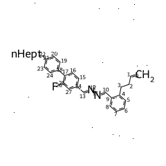 C=CCCc1ccccc1C=NN=Cc1ccc(-c2ccc(CCCCCCC)cc2)c(F)c1